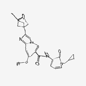 CC(C)Oc1cc2nc(C34COC(C)(C3)C4)cn2cc1C(=O)Nc1cccn(C2CC2)c1=O